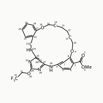 COC(=O)c1ccc2cc1OCCCCCCOc1ccccc1CNc1nc(nc(OCC(F)(F)F)n1)N2